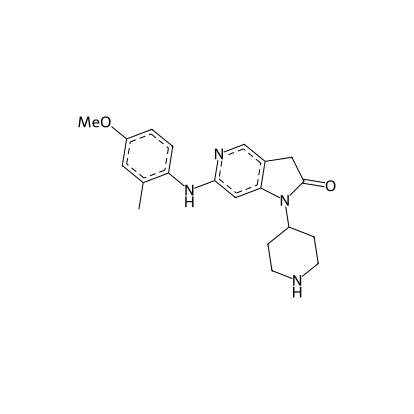 COc1ccc(Nc2cc3c(cn2)CC(=O)N3C2CCNCC2)c(C)c1